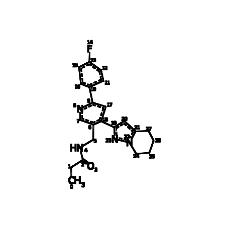 CCC(=O)NCc1cnc(-c2ccc(F)cc2)cc1-c1cc2n(n1)CCCC2